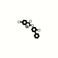 O=C(c1ccc(Cl)cc1Cl)C(Br)Oc1ccc(-c2ccccc2)c(Cl)c1